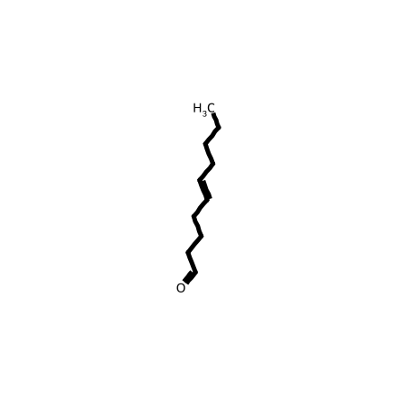 CCCCC=CCCCC=O